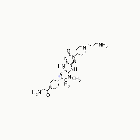 C=NC1=C(/C=C(\C)C2CCN(C(=O)CN)CC2)Nc2nc(=O)n(C3CCN(CCCN)CC3)nc2N1